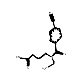 CCN(CCCC(=O)O)C(=O)c1ccc(C#N)cc1